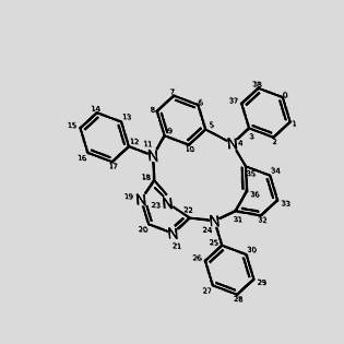 c1ccc(N2c3cccc(c3)N(c3ccccc3)c3ncnc(n3)N(c3ccccc3)c3cccc2c3)cc1